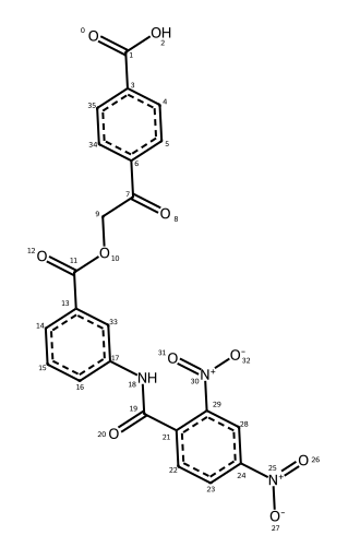 O=C(O)c1ccc(C(=O)COC(=O)c2cccc(NC(=O)c3ccc([N+](=O)[O-])cc3[N+](=O)[O-])c2)cc1